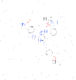 CNC(=O)c1ccccc1Nc1nc(Nc2ccc3c(c2)CNC3=O)nc2c1CCN2Cc1ccc(OC)cc1